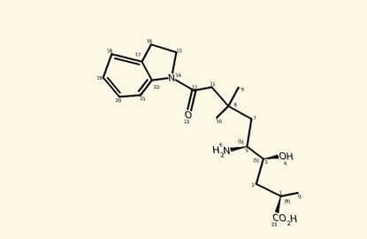 C[C@H](C[C@H](O)[C@@H](N)CC(C)(C)CC(=O)N1CCc2ccccc21)C(=O)O